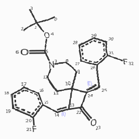 CC(C)(C)OC(=O)N1CCC2(CC1)/C(=C\c1ccccc1F)C(=O)/C2=C/c1ccccc1F